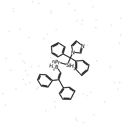 BC=C(c1ccccc1)c1ccccc1.CCC[SiH2]C(c1ccccc1)(c1ccccc1)n1ccnc1